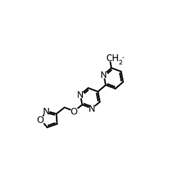 [CH2]c1cccc(-c2cnc(OCc3ccon3)nc2)n1